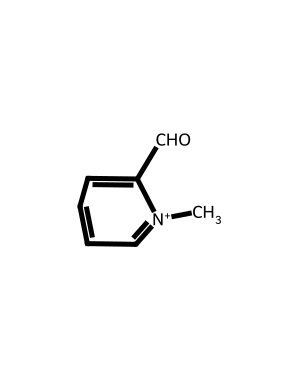 C[n+]1ccccc1C=O